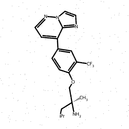 CC(C)C[C@](C)(N)COc1ccc(-c2ccnn3ccnc23)cc1C(F)(F)F